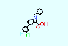 O=C(O)c1cn(Cc2ccccc2)c2ccc(-c3ccc(F)c(Cl)c3)cc12